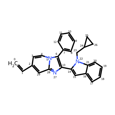 C=Cc1ccn2c(-c3ccccc3)c(-c3cc4ccccc4n3CC3CC3)nc2c1